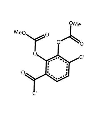 COC(=O)Oc1c(Cl)ccc(C(=O)Cl)c1OC(=O)OC